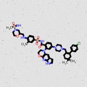 CC1(C)CCC(CN2CCN(c3ccc(C(=O)NS(=O)(=O)c4ccc(NCC5CN(S(C)(=N)=O)CCO5)c([N+](=O)[O-])c4)c(N4CCOc5nc6[nH]ccc6cc54)c3)CC2)=C(c2ccc(Cl)cc2)C1